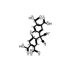 N#CC1(C#N)c2cc(C(=O)O)c(C(=O)O)cc2Oc2cc(C(=O)O)c(C(=O)O)cc21